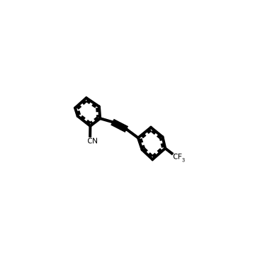 N#Cc1ccccc1C#Cc1ccc(C(F)(F)F)cc1